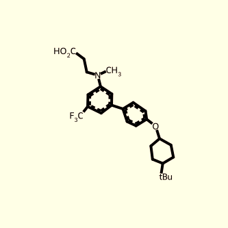 CN(CCC(=O)O)c1cc(-c2ccc(OC3CCC(C(C)(C)C)CC3)cc2)cc(C(F)(F)F)c1